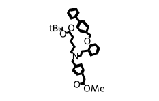 COC(=O)Cc1ccc(CN(CCCCC(=O)OC(C)(C)C)CCc2ccccc2OCc2ccc(-c3ccccc3)cc2)cc1